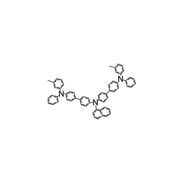 Cc1cccc(N(c2ccccc2)c2ccc(-c3ccc(N(c4ccc(-c5ccc(N(c6ccccc6)c6cccc(C)c6)cc5)cc4)c4cccc5ccccc45)cc3)cc2)c1